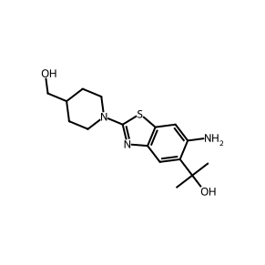 CC(C)(O)c1cc2nc(N3CCC(CO)CC3)sc2cc1N